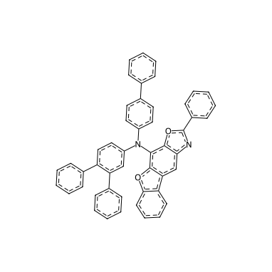 c1ccc(-c2ccc(N(c3ccc(-c4ccccc4)c(-c4ccccc4)c3)c3c4oc(-c5ccccc5)nc4cc4c3oc3ccccc34)cc2)cc1